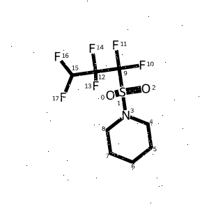 O=S(=O)(N1CCCCC1)C(F)(F)C(F)(F)C(F)F